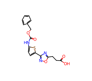 O=C(O)CCc1nc(-c2ccc(NC(=O)OCc3ccccc3)s2)no1